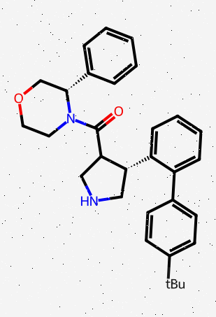 CC(C)(C)c1ccc(-c2ccccc2[C@@H]2CNCC2C(=O)N2CCOC[C@@H]2c2ccccc2)cc1